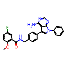 COc1ccc(F)cc1C(=O)NCc1ccc(-c2cn(-c3ccccc3)c3ncnc(N)c23)cc1